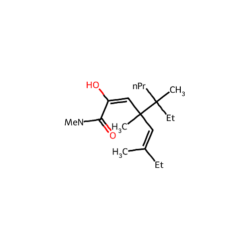 CCCC(C)(CC)C(C)(/C=C(\C)CC)/C=C(/O)C(=O)NC